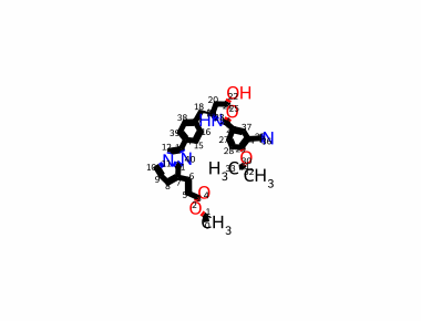 CCOC(=O)C=Cc1cccn2cc(-c3ccc(C[C@@H](CCO)NC(=O)c4ccc(OC(C)C)c(C#N)c4)cc3)nc12